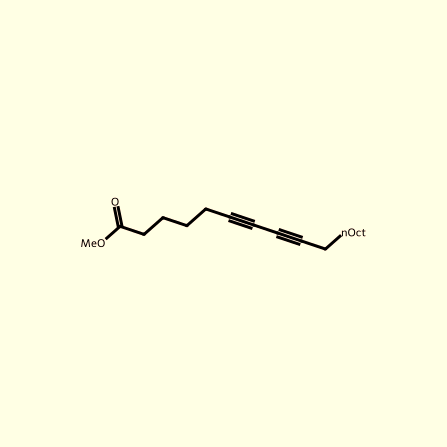 CCCCCCCCCC#CC#CCCCCC(=O)OC